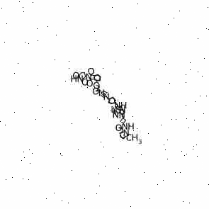 Cc1cccc(C(=O)NC2CC(n3cnc4c(Nc5ccc(N6CCN(C(=O)COc7cccc8c7C(=O)N([C@H]7CCC(=O)NC7=O)C8=O)CC6)cc5)ncnc43)C2)n1